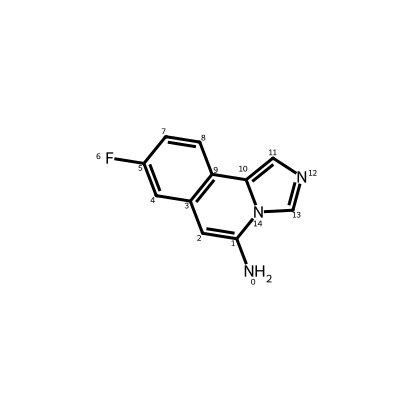 Nc1cc2cc(F)ccc2c2cncn12